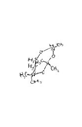 C[SiH](O[SiH3])O[Si](C)(C)O[Si](C)(C)C